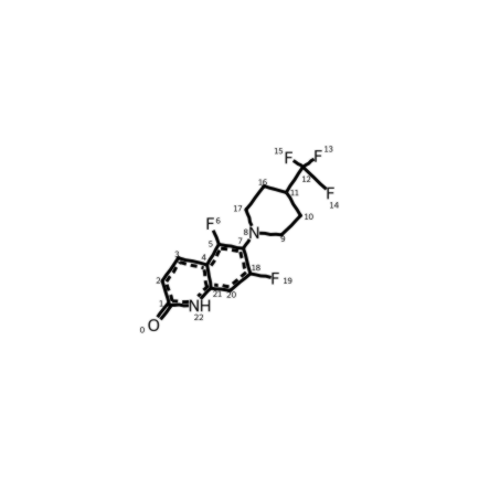 O=c1ccc2c(F)c(N3CCC(C(F)(F)F)CC3)c(F)cc2[nH]1